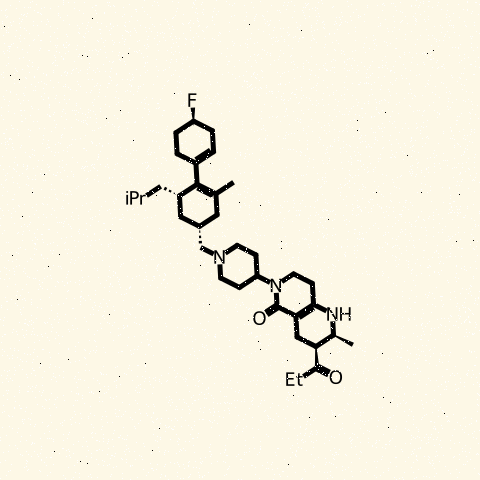 CCC(=O)[C@H]1CC2=C(CCN(C3CCN(C[C@H]4CC(C)=C(C5=CC[C@H](F)CC5)[C@@H](CC(C)C)C4)CC3)C2=O)N[C@H]1C